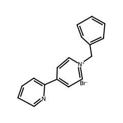 [Br-].c1ccc(C[n+]2ccc(-c3ccccn3)cc2)cc1